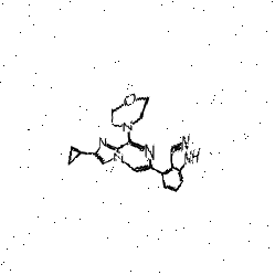 c1cc(-c2cn3cc(C4CC4)nc3c(N3CCOCC3)n2)c2cn[nH]c2c1